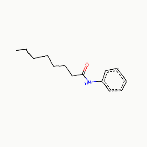 CCCCCCCC(=O)Nc1c[c]ccc1